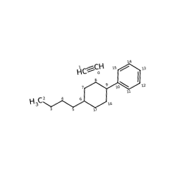 C#C.CCCCC1CCC(c2ccccc2)CC1